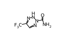 NC(=O)N1N=CC(C(F)(F)F)=NN1